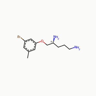 Cc1cc(Br)cc(OC[C@@H](N)CCCN)c1